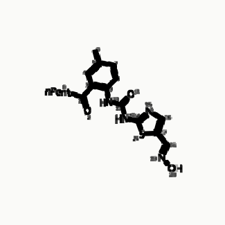 CCCCCC(=O)c1cc(C)ccc1NC(=O)Nc1ncc(C=NO)s1